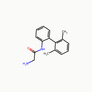 Cc1cccc(C)c1-c1ccccc1NC(=O)CN